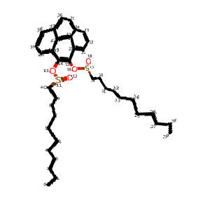 CCCCCCCCCCCS(=O)Oc1c(OS(=O)CCCCCCCCCCC)c2cccc3ccc4cccc1c4c32